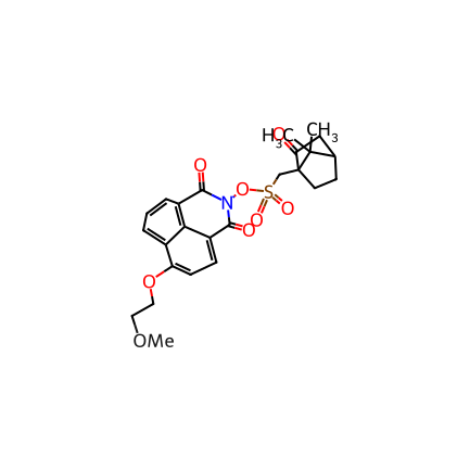 COCCOc1ccc2c3c(cccc13)C(=O)N(OS(=O)(=O)CC13CCC(CC1=O)C3(C)C)C2=O